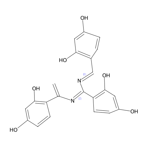 C=C(/N=C(\N=C\c1ccc(O)cc1O)c1ccc(O)cc1O)c1ccc(O)cc1O